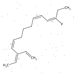 C=CC(/C=C\CCC/C=C\C=C(\F)CC)=C/C